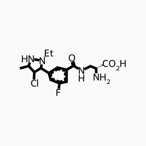 CCN1NC(C)C(Cl)C1c1cc(F)cc(C(=O)NC[C@@H](N)C(=O)O)c1